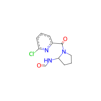 O=CNC1CCCN1C(=O)c1cccc(Cl)n1